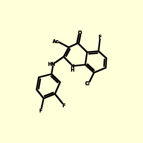 CC(=O)c1c(Nc2ccc(F)c(F)c2)[nH]c2c(Cl)ccc(F)c2c1=O